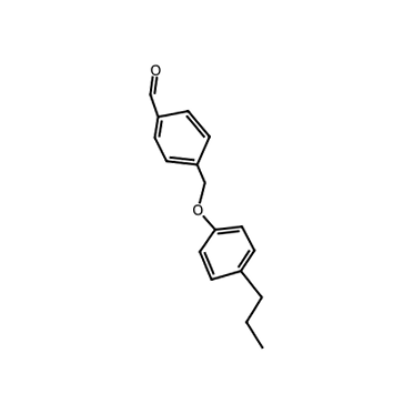 CCCc1ccc(OCc2ccc(C=O)cc2)cc1